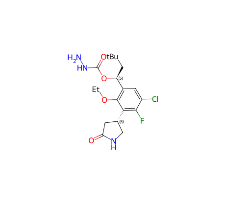 CCOc1c([C@H](CC(C)(C)C)OC(=O)NN)cc(Cl)c(F)c1[C@@H]1CNC(=O)C1